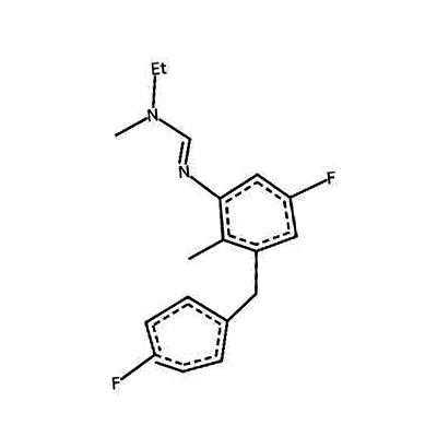 CCN(C)C=Nc1cc(F)cc(Cc2ccc(F)cc2)c1C